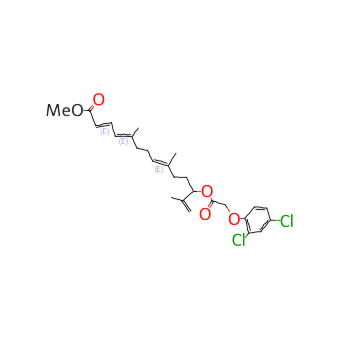 C=C(C)C(CC/C(C)=C/CC/C(C)=C/C=C/C(=O)OC)OC(=O)COc1ccc(Cl)cc1Cl